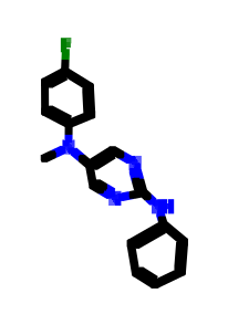 CN(c1ccc(F)cc1)c1cnc(Nc2ccccc2)nc1